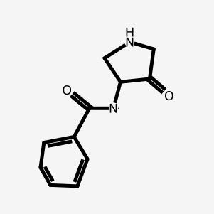 O=C([N]C1CNCC1=O)c1ccccc1